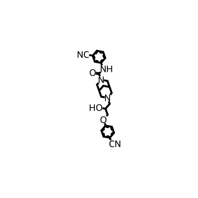 N#Cc1ccc(OCC(O)CN2CC3CC(C2)CN(C(=O)Nc2cccc(C#N)c2)C3)cc1